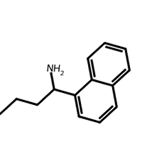 CCCC(N)c1cccc2ccccc12